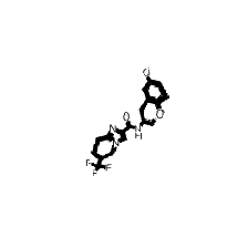 O=C(NC1COc2ccc(Cl)cc2C1)c1cn2c(n1)CCC(C(F)(F)F)C2